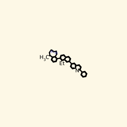 CCc1c(-c2cccc3c2/C=C\C=C\CC3C)ccc2ccc(-c3ccc4nc(-c5ccccc5)ccc4c3)cc12